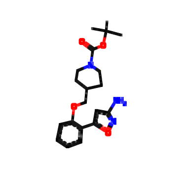 CC(C)(C)OC(=O)N1CCC(COc2ccccc2-c2cc(N)no2)CC1